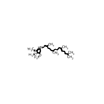 COc1cc(NCC=C(C)CCC[C@H](C)CCC[C@H](C)CCCC(C)C)cc(OC)c1OC